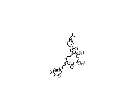 CC(C)CN1CCCN(C(=O)OC2/C=C/C(C)C(/C=C/C=C/C(C)(O)CC3OC3C(C)C(O)C(C)C)OC(=O)CC(O)CCC2(C)O)CC1